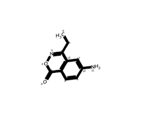 CCc1noc(=O)c2ccc(N)cc12